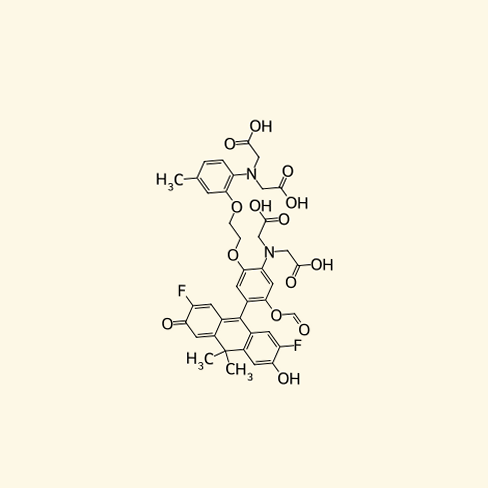 Cc1ccc(N(CC(=O)O)CC(=O)O)c(OCCOc2cc(C3=C4C=C(F)C(=O)C=C4C(C)(C)c4cc(O)c(F)cc43)c(OC=O)cc2N(CC(=O)O)CC(=O)O)c1